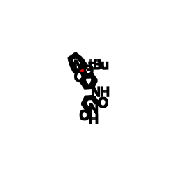 CC(C)(C)OC(=O)N1C2CCC1CC(c1ccc(NC3CCC(=O)NC3=O)cc1)C2